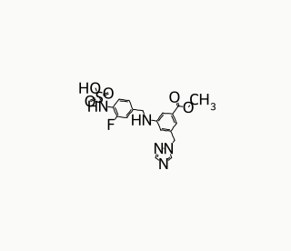 COC(=O)c1cc(Cn2cncn2)cc(NCc2ccc(NS(=O)(=O)O)c(F)c2)c1